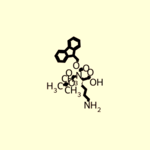 CC(C)(C)OC(=O)N(C(=O)OCC1c2ccccc2-c2ccccc21)[C@@H](CCCCN)C(=O)O